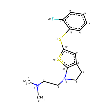 CN(C)CCN1CCc2cc(Sc3ccccc3F)sc21